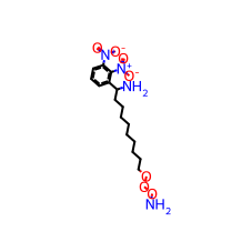 NOOOCCCCCCCCCC(N)c1cccc([N+](=O)[O-])c1[N+](=O)[O-]